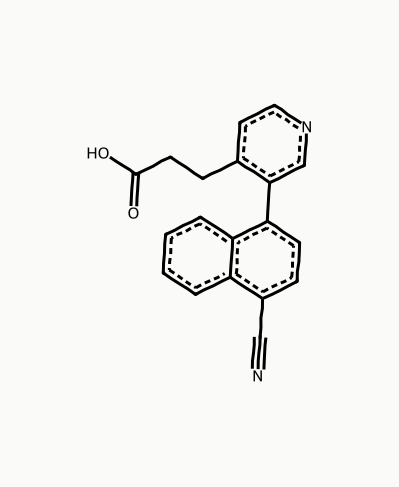 N#Cc1ccc(-c2cnccc2CCC(=O)O)c2ccccc12